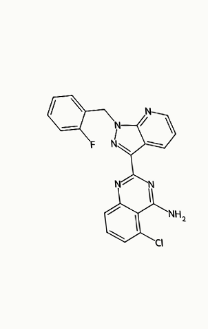 Nc1nc(-c2nn(Cc3ccccc3F)c3ncccc23)nc2cccc(Cl)c12